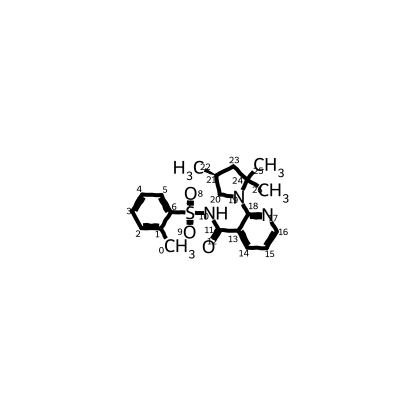 Cc1ccccc1S(=O)(=O)NC(=O)c1cccnc1N1C[C@@H](C)CC1(C)C